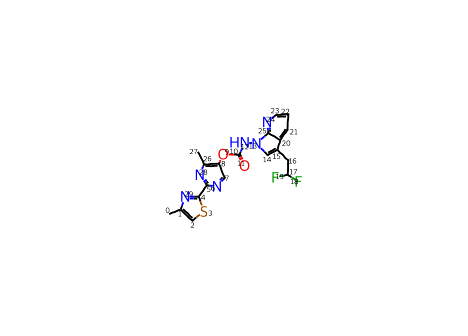 Cc1csc(-c2ncc(OC(=O)Nn3cc(CC(F)F)c4cccnc43)c(C)n2)n1